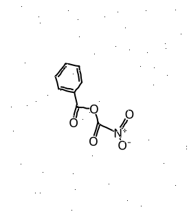 O=C(OC(=O)[N+](=O)[O-])c1ccccc1